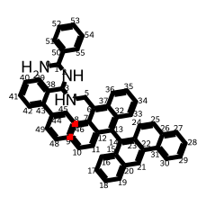 NC(NC(NCc1c2ccccc2c(-c2c3ccccc3cc3c2ccc2ccccc23)c2ccccc12)c1ccccc1-c1ccccc1)c1ccccc1